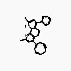 CC1=CC(c2ccccc2)=C2C=Cc3c(/C4=C/C=C\CC#CC4)cc(C)nc3C2N1